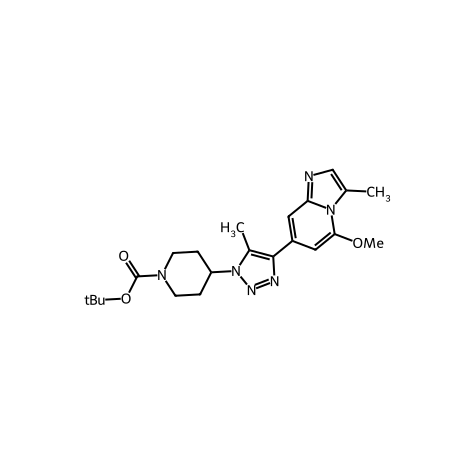 COc1cc(-c2nnn(C3CCN(C(=O)OC(C)(C)C)CC3)c2C)cc2ncc(C)n12